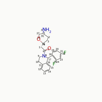 N[C@H]1CC[C@H](CC(=O)N2CCc3ccccc3C2c2ccc(F)cc2F)OC1